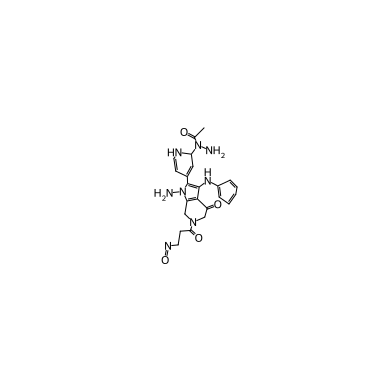 CC(=O)N(N)C1C=C(c2c(Nc3ccccc3)c3c(n2N)CN(C(=O)CCN=O)CC3=O)C=CN1